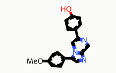 COc1ccc(-c2cnc3cnc(-c4ccc(O)cc4)cn23)cc1